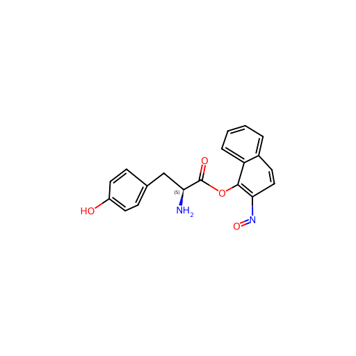 N[C@@H](Cc1ccc(O)cc1)C(=O)Oc1c(N=O)ccc2ccccc12